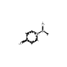 C[S+]([O-])n1ccc(=O)cc1